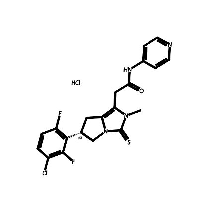 Cl.Cn1c(CC(=O)Nc2ccncc2)c2n(c1=S)C[C@H](c1c(F)ccc(Cl)c1F)C2